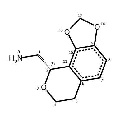 NC[C@H]1OCCc2ccc3c(c21)OCO3